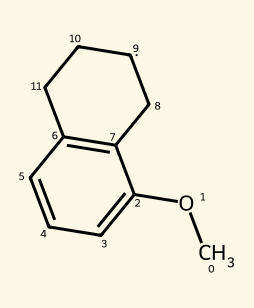 COc1cccc2c1C[CH]CC2